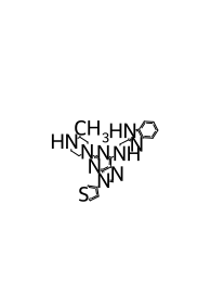 CC1CN(c2nc(NCc3nc4ccccc4[nH]3)c3ncn(-c4ccsc4)c3n2)CCN1